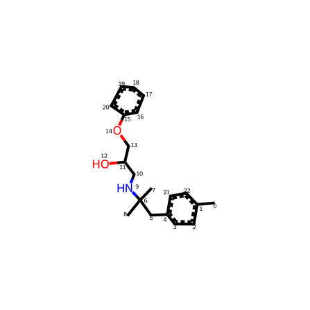 Cc1ccc(CC(C)(C)NCC(O)COc2ccccc2)cc1